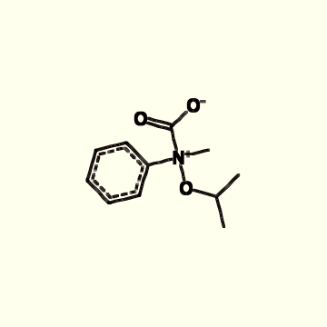 CC(C)O[N+](C)(C(=O)[O-])c1ccccc1